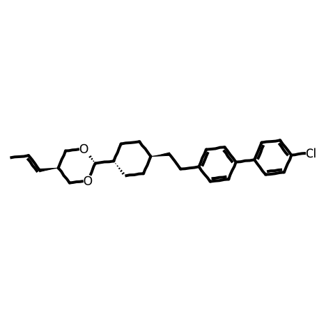 C/C=C/[C@H]1CO[C@H]([C@H]2CC[C@H](CCc3ccc(-c4ccc(Cl)cc4)cc3)CC2)OC1